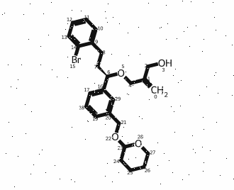 C=C(CO)CO[C@H](CCc1ccccc1Br)c1cccc(COC2CCCCO2)c1